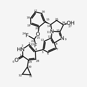 O=c1[nH]cc(-c2ccc3nc4n(c3c2)[C@@H](c2ccccc2OC(F)F)C[C@H]4O)cc1C1CC1